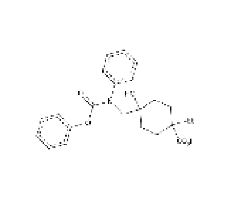 CCC1(C(=O)O)CCC(O)(CN(C(=O)Oc2ccccc2)c2ccccc2)CC1